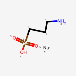 NCCCS(=O)(=O)O.[Na]